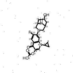 O=C(O)Oc1cn(C2CC2)c2cc(N3CC4CC(O)CC(C3)N4)c(F)cc2c1=O